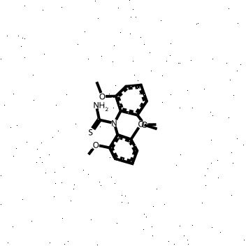 COc1cccc(OC)c1N(C(N)=S)c1c(OC)cccc1OC